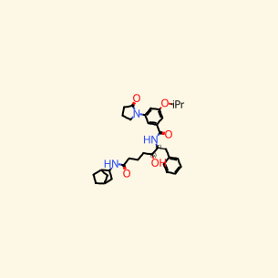 CC(C)Oc1cc(C(=O)N[C@@H](Cc2ccccc2)[C@@H](O)CCCC(=O)NC2CC3CCC2C3)cc(N2CCCC2=O)c1